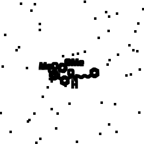 COc1ccc(-n2c(-c3cccc(C(=O)NCCCCc4ccccc4)c3)csc2=O)c(OC)c1